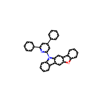 c1ccc(-c2cc(-c3ccccc3)nc(-n3c4ccccc4c4cc5oc6ccccc6c5cc43)c2)cc1